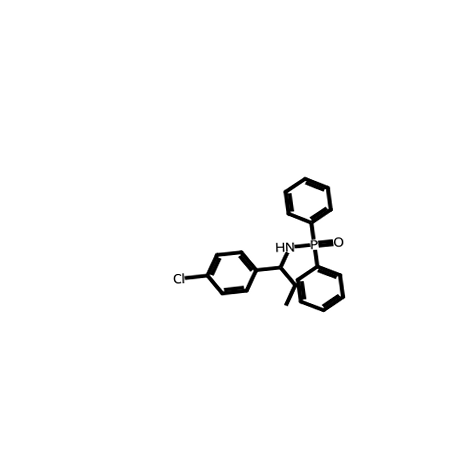 CCC(NP(=O)(c1ccccc1)c1ccccc1)c1ccc(Cl)cc1